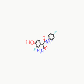 NC(=O)C(C(=O)Nc1ccc(F)cc1)c1ccc(O)c(F)c1